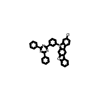 Clc1ccc2c3cc4c(cc3n(-c3cccc(-c5nc(-c6ccccc6)nc(-c6ccccc6)n5)c3)c2c1)oc1ccccc14